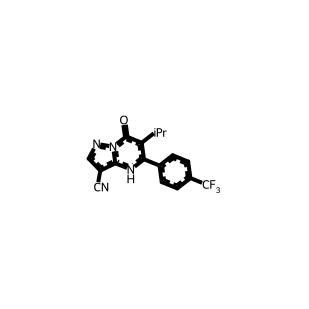 CC(C)c1c(-c2ccc(C(F)(F)F)cc2)[nH]c2c(C#N)cnn2c1=O